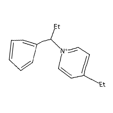 CCc1cc[n+](C(CC)c2ccccc2)cc1